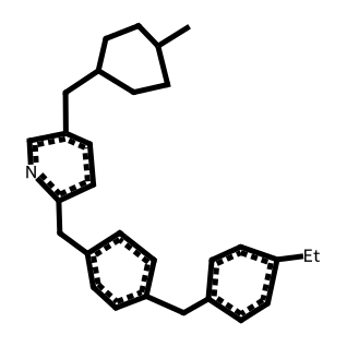 CCc1ccc(Cc2ccc(Cc3ccc(CC4CCC(C)CC4)cn3)cc2)cc1